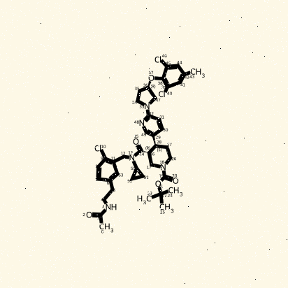 CC(=O)NCCc1ccc(Cl)c(CN(C(=O)[C@H]2CN(C(=O)OC(C)(C)C)CC[C@@H]2c2ccc(N3CC[C@@H](Oc4c(Cl)cc(C)cc4Cl)C3)nc2)C2CC2)c1